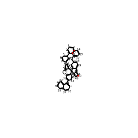 c1ccc(-c2ccccc2N(c2ccccc2)c2ccc3c(c2)C2(c4ccccc4Oc4cc(-c5cccc6ccccc56)ccc42)c2ccccc2-3)cc1